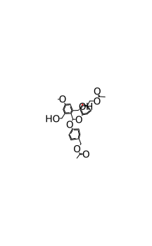 COc1cc(CO)c(C(Oc2ccc(COC(C)=O)cc2)Oc2ccc(COC(C)=O)cc2)c(CO)c1